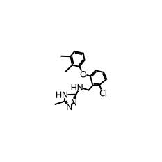 Cc1nnc(NCc2c(Cl)cccc2Oc2cccc(C)c2C)[nH]1